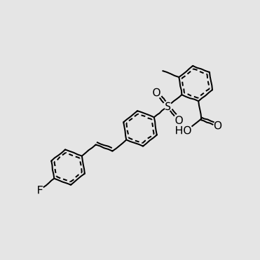 Cc1cccc(C(=O)O)c1S(=O)(=O)c1ccc(/C=C/c2ccc(F)cc2)cc1